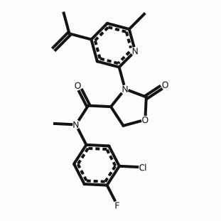 C=C(C)c1cc(C)nc(N2C(=O)OCC2C(=O)N(C)c2ccc(F)c(Cl)c2)c1